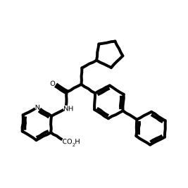 O=C(O)c1cccnc1NC(=O)C(CC1CCCC1)c1ccc(-c2ccccc2)cc1